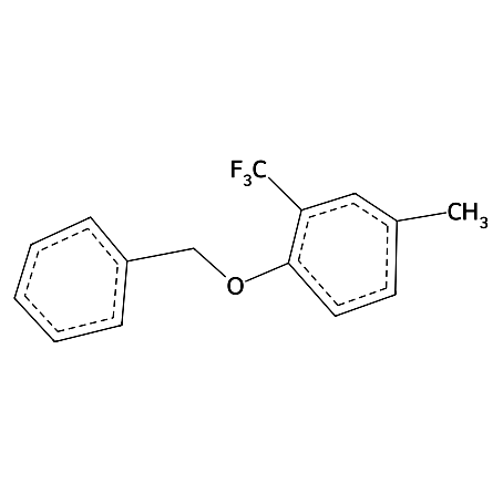 Cc1ccc(OCc2ccccc2)c(C(F)(F)F)c1